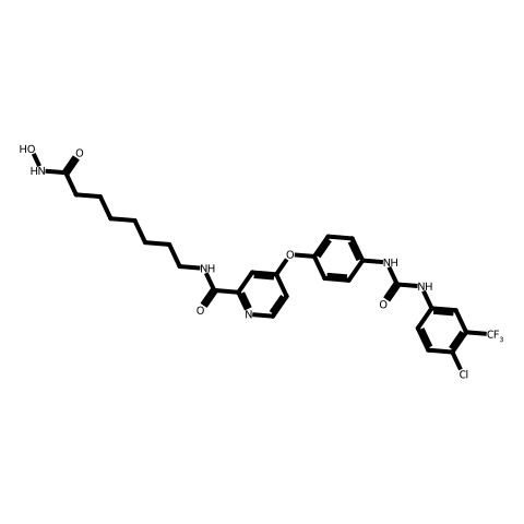 O=C(CCCCCCCNC(=O)c1cc(Oc2ccc(NC(=O)Nc3ccc(Cl)c(C(F)(F)F)c3)cc2)ccn1)NO